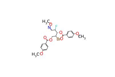 CO/N=C\[C@@H](F)[C@H](OC(=O)c1ccc(OC)cc1)[C@@H](Br)COC(=O)c1ccc(OC)cc1